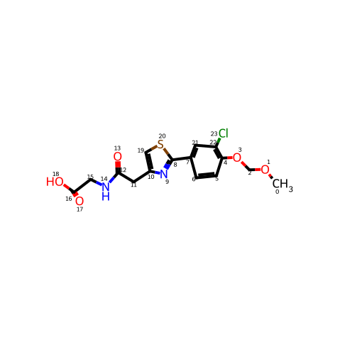 COCOc1ccc(-c2nc(CC(=O)NCC(=O)O)cs2)cc1Cl